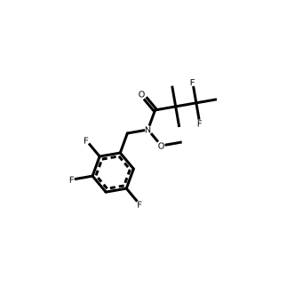 CON(Cc1cc(F)cc(F)c1F)C(=O)C(C)(C)C(C)(F)F